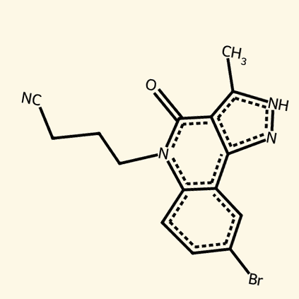 Cc1[nH]nc2c1c(=O)n(CCCC#N)c1ccc(Br)cc21